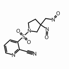 N#Cc1ncccc1S(=O)(=O)N1CCC(CN=O)(N=O)C1